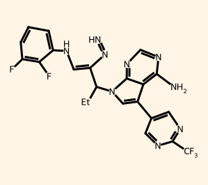 CCC(/C(=C/Nc1cccc(F)c1F)N=N)n1cc(-c2cnc(C(F)(F)F)nc2)c2c(N)ncnc21